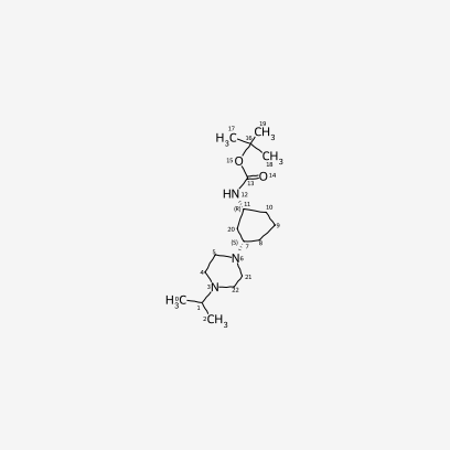 CC(C)N1CCN([C@H]2CCC[C@@H](NC(=O)OC(C)(C)C)C2)CC1